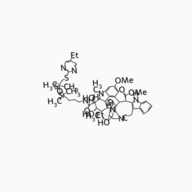 CCc1cnc(SC[Si](C)(C)O[Si](C)(C)CCCNC(=O)[C@@]2(O)[C@H](O)[C@]3(C)CCCN4CC[C@@]5(c6c(C7[C@H]8C[N@@](CCc9c([nH]c%10ccccc9%10)[C@@H]7C(=O)OC)C[C@](O)(CC)C8)cc(OC)cc6N(C)[C@@H]25)[C@@H]43)nc1